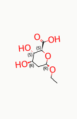 CCO[C@H]1C[C@@H](O)[C@H](O)[C@@H](C(=O)O)O1